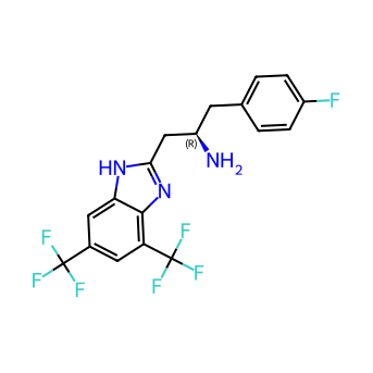 N[C@H](Cc1ccc(F)cc1)Cc1nc2c(C(F)(F)F)cc(C(F)(F)F)cc2[nH]1